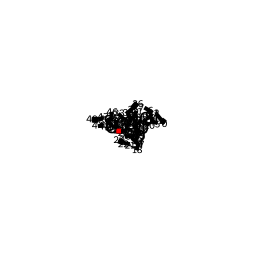 C#CC[Si](CC)(CC)O[Si](C)(C)O[Si](C)(O[Si](CC)(CC)CC#C)O[Si](CC)(O[Si](CC)(CC)CC#C)O[Si](C)(C)O[Si](CC)(CC)CC#C